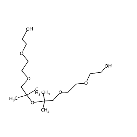 CC(C)(COCCOCCO)OC(C)(C)COCCOCCO